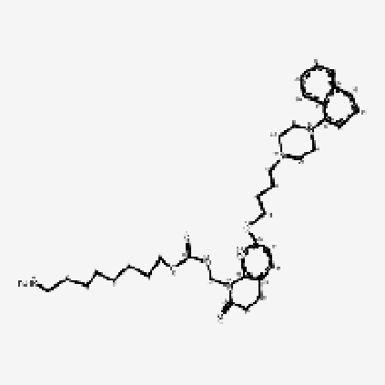 CCCCCCCCCCCCCCCCCCOC(=O)OCN1C(=O)CCc2ccc(OCCCCN3CCN(c4cccc5ccccc45)CC3)nc21